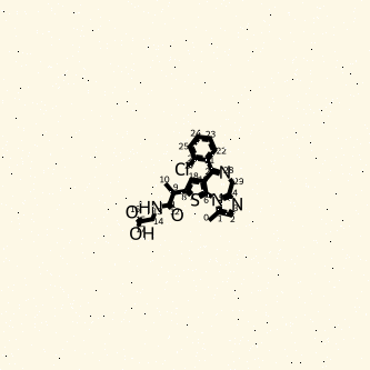 Cc1cnc2n1-c1sc(C(C)C(=O)NCC(=O)O)cc1C(c1ccccc1Cl)=NC2